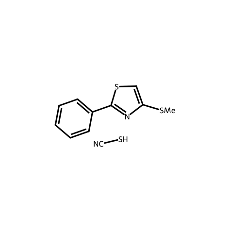 CSc1csc(-c2ccccc2)n1.N#CS